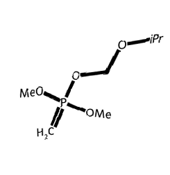 C=P(OC)(OC)OCOC(C)C